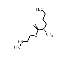 CCCCN(C)C(=O)OCCNC